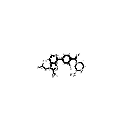 C[C@@H]1CN(C(=O)c2ccc(-c3nccc4c3nc(C(F)(F)F)n4CC(F)F)cc2F)CCO1